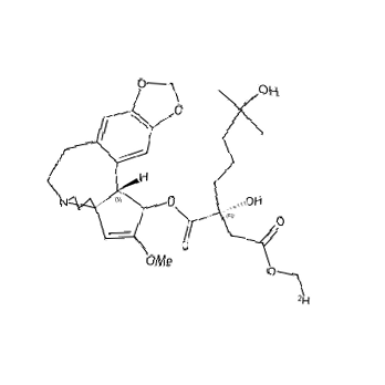 [2H]COC(=O)C[C@](O)(CCCC(C)(C)O)C(=O)OC1C(OC)=CC23CCCN2CCc2cc4c(cc2[C@H]13)OCO4